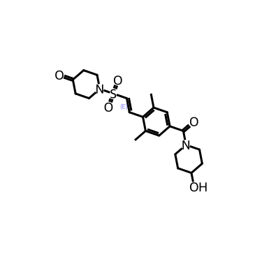 Cc1cc(C(=O)N2CCC(O)CC2)cc(C)c1/C=C/S(=O)(=O)N1CCC(=O)CC1